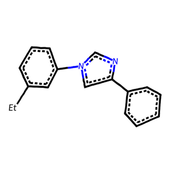 CCc1cccc(-n2cnc(-c3ccccc3)c2)c1